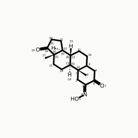 C[C@]12CC(=NO)C(=O)CC1CC[C@@H]1[C@@H]2CC[C@]2(C)C(=O)CC[C@@H]12